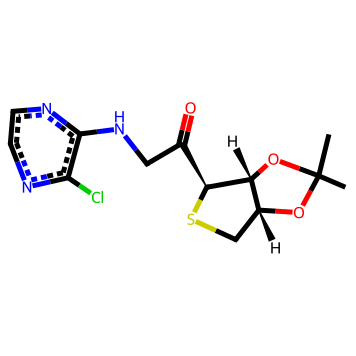 CC1(C)O[C@@H]2[C@@H](CS[C@H]2C(=O)CNc2nccnc2Cl)O1